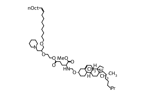 CCCCCCCC/C=C\CCCCCCCCOCC(CN1CCCCC1)OCCOC(=O)CCC(NCO[C@H]1CC[C@@]2(C)C(=CC[C@H]3[C@@H]4CC[C@H]([C@H](C)CCCC(C)C)[C@@]4(C)CC[C@@H]32)C1)C(=O)OC